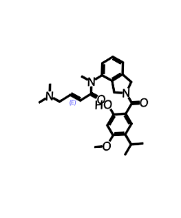 COc1cc(O)c(C(=O)N2Cc3cccc(N(C)C(=O)/C=C/CN(C)C)c3C2)cc1C(C)C